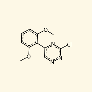 COc1cccc(OC)c1-c1cnnc(Cl)n1